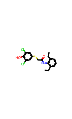 CCc1cccc(CC)c1NC(=O)CSc1cc(Cl)c(O)c(Cl)c1